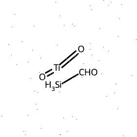 O=C[SiH3].[O]=[Ti]=[O]